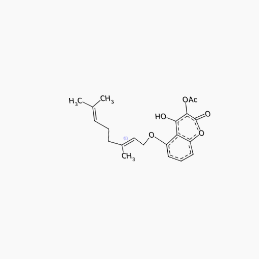 CC(=O)Oc1c(O)c2c(OC/C=C(\C)CCC=C(C)C)cccc2oc1=O